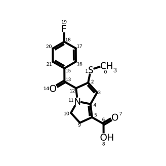 CSC1=CC2=C(C(=O)O)CCN2C1C(=O)c1ccc(F)cc1